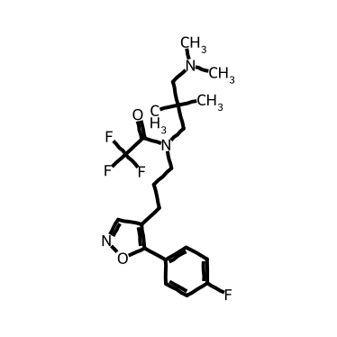 CN(C)CC(C)(C)CN(CCCc1cnoc1-c1ccc(F)cc1)C(=O)C(F)(F)F